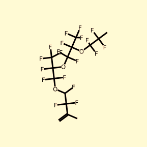 C=C(C)C(F)(F)C(F)OC(F)(F)C(F)(OC(F)(F)C(F)(OC(F)(F)C(C)(F)F)C(F)(F)F)C(F)(F)F